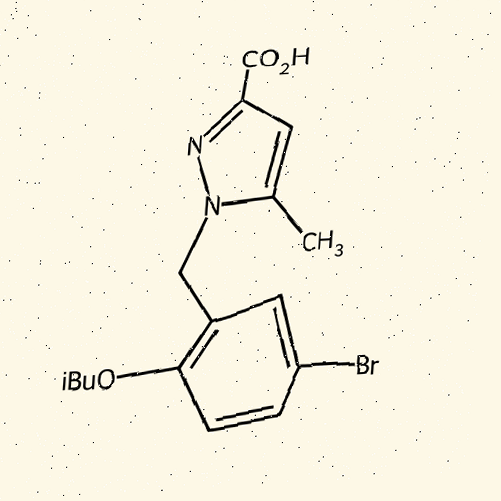 Cc1cc(C(=O)O)nn1Cc1cc(Br)ccc1OCC(C)C